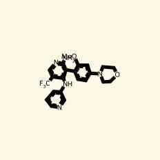 COc1cc(N2CCOCC2)ccc1-c1c(N)ncc(C(F)(F)F)c1Nc1cccnc1